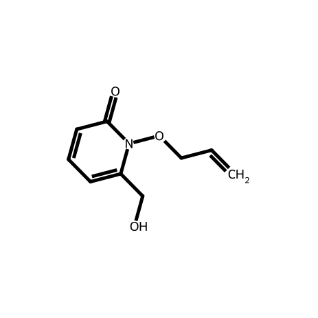 C=CCOn1c(CO)cccc1=O